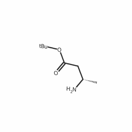 C[C@H](N)CC(=O)OC(C)(C)C